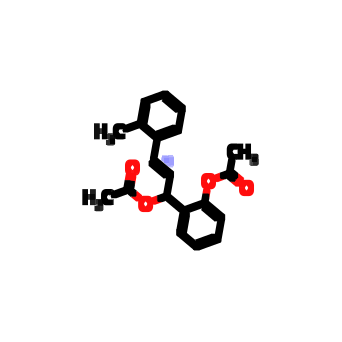 CC(=O)Oc1ccccc1C(/C=C/c1ccccc1C)OC(C)=O